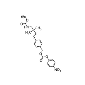 CC(C)(C)OC(=O)NCC(C)(C)SSc1ccc(COC(=O)Oc2ccc([N+](=O)[O-])cc2)cc1